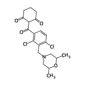 CC1CN(Cc2c(Cl)ccc(C(=O)C3C(=O)CCCC3=O)c2Cl)CC(C)O1